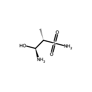 C[C@@H]([C@@H](N)O)S(N)(=O)=O